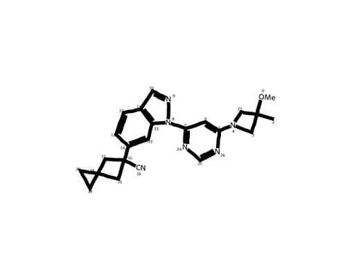 COC1(C)CN(c2cc(-n3ncc4ccc(C5(C#N)CC6(CC6)C5)cc43)ncn2)C1